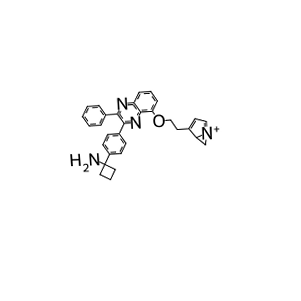 NC1(c2ccc(-c3nc4c(OCCC5=CC=[N+]6CC56)cccc4nc3-c3ccccc3)cc2)CCC1